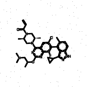 C=CC(=O)N1C[C@H](C)N(c2nc(OC(C)CN(C)C)nc3c(F)c(-c4c(C)ccc5[nH]nc(C6CC6)c45)c(Cl)cc23)C[C@H]1C